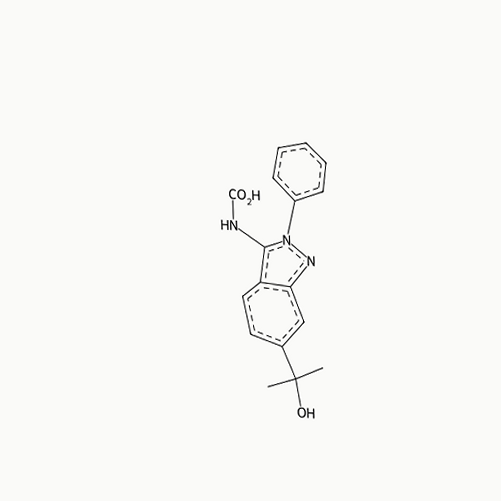 CC(C)(O)c1ccc2c(NC(=O)O)n(-c3ccccc3)nc2c1